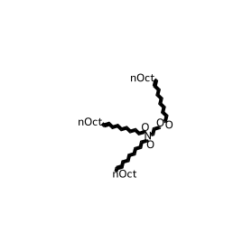 CCCCCCCCC=CCCCCCCCC(=O)OCCCN(C(=O)CCCCCCCC=CCCCCCCCC)C(=O)CCCCCCCC=CCCCCCCCC